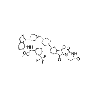 COc1ccc2cnn(C3CCN(CC4CCN(c5ccc6c(c5)C(=O)N(N5CCC(=O)NC5=O)C6=O)CC4)CC3)c2c1NC(=O)c1cccc(C(F)(F)F)c1